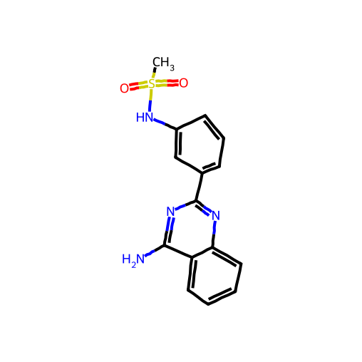 CS(=O)(=O)Nc1cccc(-c2nc(N)c3ccccc3n2)c1